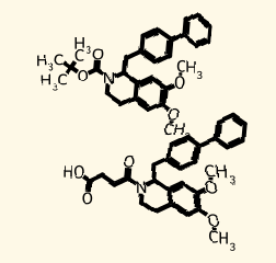 COc1cc2c(cc1OC)C(Cc1ccc(-c3ccccc3)cc1)N(C(=O)CCC(=O)O)CC2.COc1cc2c(cc1OC)C(Cc1ccc(-c3ccccc3)cc1)N(C(=O)OC(C)(C)C)CC2